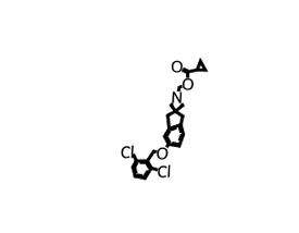 O=C(OCN1CC2(Cc3ccc(OCc4c(Cl)cccc4Cl)cc3C2)C1)C1CC1